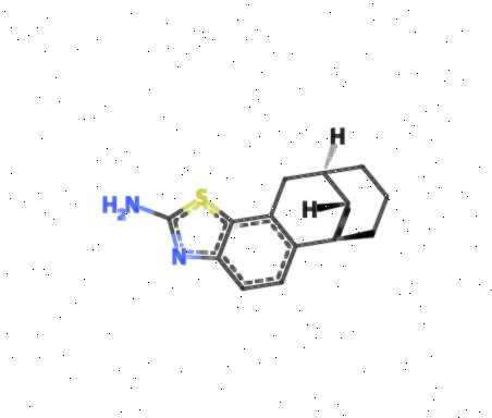 Nc1nc2ccc3c(c2s1)C[C@H]1CCC[C@@]32CCCC[C@@H]12